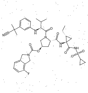 CC[C@@H]1C[C@]1(NC(=O)[C@@H]1C[C@@H](OC(=O)N2Cc3cccc(F)c3C2)CN1C(=O)[C@@H](Nc1cccc(C(C)(C)C#N)c1)C(C)C)C(=O)NS(=O)(=O)C1CC1